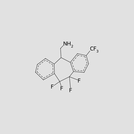 NCC1c2ccccc2C(F)(F)C(F)(F)c2ccc(C(F)(F)F)cc21